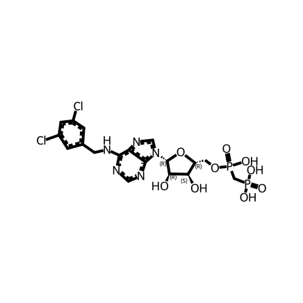 O=P(O)(O)CP(=O)(O)OC[C@H]1O[C@@H](n2cnc3c(NCc4cc(Cl)cc(Cl)c4)ncnc32)[C@H](O)[C@@H]1O